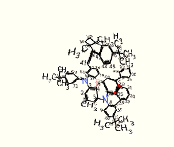 Cc1cc2c3c(c1)N(c1ccc(C(C)(C)C)cc1-c1ccccc1)c1ccc(-c4ccccc4)cc1B3c1ccc(/C=C3\c4ccc(C(C)(C)C)cc4C4(C)CCC34C)cc1N2c1ccc(C(C)(C)C)cc1